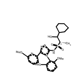 COc1cccc(-c2nnc(NS(=O)(=O)[C@@H](C)C(O)C3CCCCC3)n2-c2c(OC)cccc2OC)n1